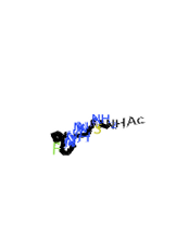 C=C(CNC(C)=O)S/C(=C\N)c1ccc(NCC2(c3ncccc3F)CCC2)nn1